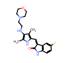 Cc1[nH]c(/C=C2\C(=O)Nc3ccc(F)cc32)c(C)c1NCCN1CCOCC1